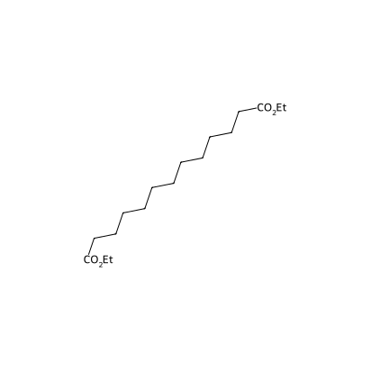 CCOC(=O)CCCCCCCCCCCC(=O)OCC